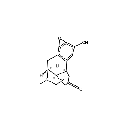 CN1CC[C@]23CC(=O)CC[C@H]2[C@H]1Cc1c3cc(O)c2c1O2